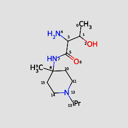 CC(O)C(N)C(=O)NC1(C)CCN(C(C)C)CC1